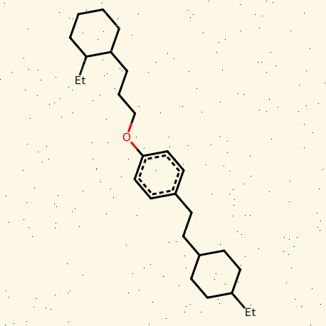 CCC1CCC(CCc2ccc(OCCCC3CCCCC3CC)cc2)CC1